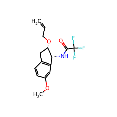 C=CCO[C@H]1Cc2ccc(OC)cc2[C@H]1NC(=O)C(F)(F)F